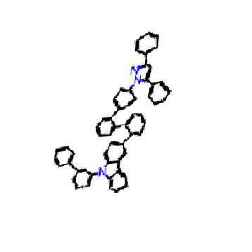 c1ccc(-c2cccc(-n3c4ccccc4c4cc(-c5ccccc5-c5ccccc5-c5ccc(-n6nc(-c7ccccc7)cc6-c6ccccc6)cc5)ccc43)c2)cc1